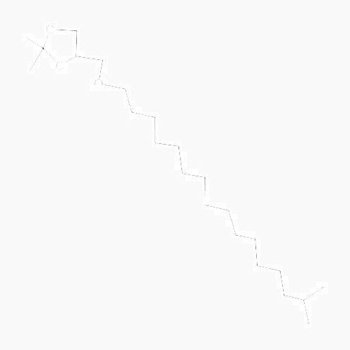 CC(C)CCCCCCCCCCCCCCOCC1COC(C)(C)O1